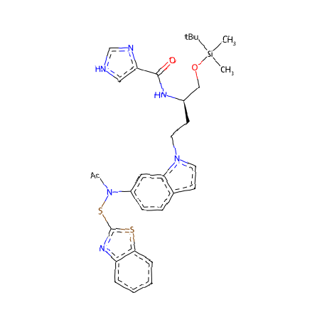 CC(=O)N(Sc1nc2ccccc2s1)c1ccc2ccn(CC[C@H](CO[Si](C)(C)C(C)(C)C)NC(=O)c3c[nH]cn3)c2c1